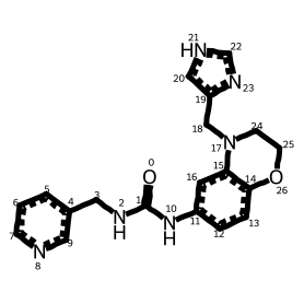 O=C(NCc1cccnc1)Nc1ccc2c(c1)N(Cc1c[nH]cn1)CCO2